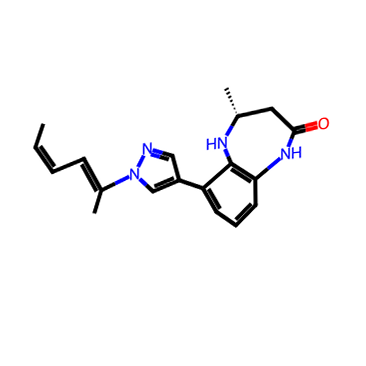 C/C=C\C=C(/C)n1cc(-c2cccc3c2N[C@H](C)CC(=O)N3)cn1